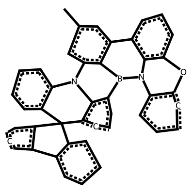 Cc1cc2c3c(c1)N1c4ccccc4C4(c5ccccc5-c5ccccc54)c4cccc(c41)B3N1c3ccccc3Oc3cccc-2c31